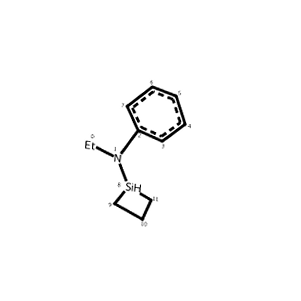 CCN(c1ccccc1)[SiH]1CCC1